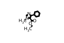 CCOC(=O)c1c(-c2ccccc2)ncn1C